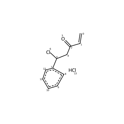 C=CC(=O)CC(Cl)c1ccccc1.Cl